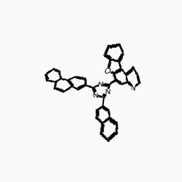 C1=CC2C=Cc3cc(-c4nc(-c5ccc6ccccc6c5)nc(-c5cc6ncccc6c6c5oc5ccccc56)n4)ccc3C2C=C1